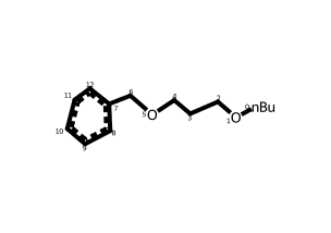 CCCCOCCCOCc1ccccc1